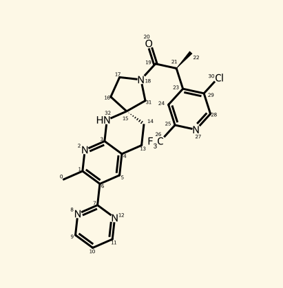 Cc1nc2c(cc1-c1ncccn1)CC[C@@]1(CCN(C(=O)[C@@H](C)c3cc(C(F)(F)F)ncc3Cl)C1)N2